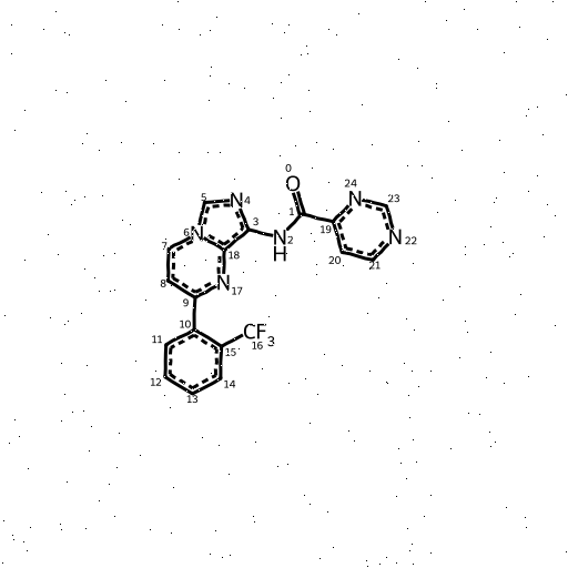 O=C(Nc1ncn2ccc(-c3ccccc3C(F)(F)F)nc12)c1ccncn1